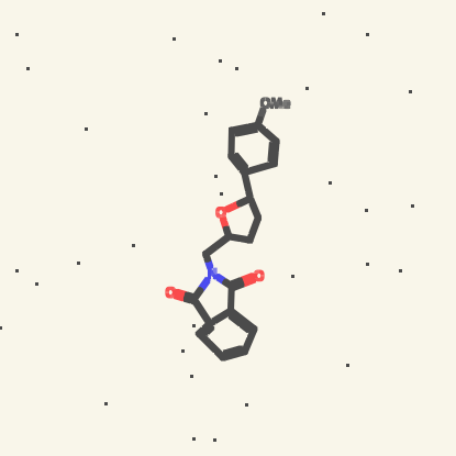 COc1ccc(C2CCC(CN3C(=O)c4ccccc4C3=O)O2)cc1